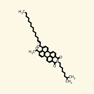 CCCCCCCCCCCC/C=C/C(=O)c1ccc2c3ccc4c5c(ccc(c6ccc(C(C)=O)c1c62)c53)C(=O)N(CCCCCCC(C)C)C4=O